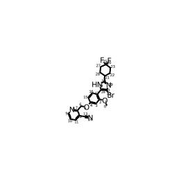 COc1cc(OCc2ncccc2C#N)ccc1-c1[nH]c(C2CCC(F)(F)CC2)nc1Br